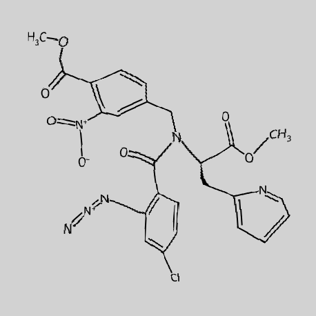 COC(=O)c1ccc(CN(C(=O)c2ccc(Cl)cc2N=[N+]=[N-])[C@H](Cc2ccccn2)C(=O)OC)cc1[N+](=O)[O-]